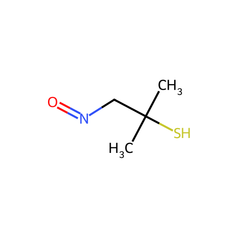 CC(C)(S)CN=O